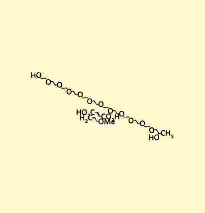 C=CCOC.CC(O)COCCOCCOCCOCCOCCOCCOCCOCCOCCOCCOCCO.O=C(O)C=CC(=O)O